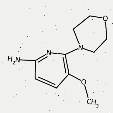 COc1ccc(N)nc1N1CCOCC1